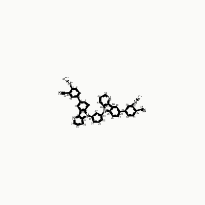 [C-]#[N+]c1ccc(-c2ccc3c(c2)c2ncccc2n3-c2cccc(-n3c4ccc(-c5ccc(C#N)c([N+]#[C-])c5)cc4c4ncccc43)c2)cc1C#N